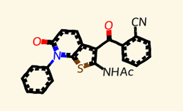 CC(=O)Nc1sc2c(ccc(=O)n2-c2ccccc2)c1C(=O)c1ccccc1C#N